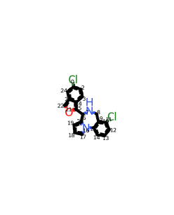 Clc1ccc2c(C3NCc4c(Cl)cccc4-n4cccc43)occ2c1